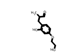 CC(C=O)Cc1ccc(OCCO)cc1O